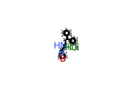 Cl.Cl.c1ccc(C(CCNCCN2CCOCC2)c2ccccc2)cc1